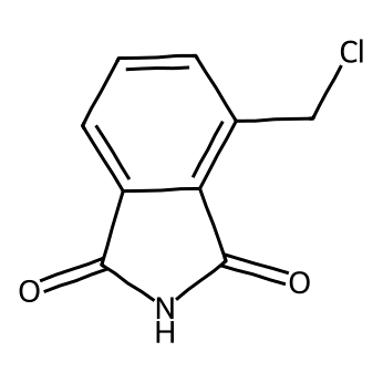 O=C1NC(=O)c2c(CCl)cccc21